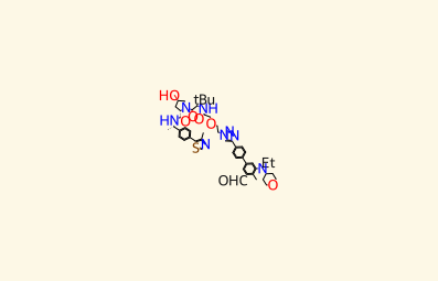 CCN(c1cc(-c2ccc(-c3cn(CCOCC(=O)N[C@H](C(=O)N4C[C@H](O)C[C@H]4C(=O)N[C@@H](C)c4ccc(-c5scnc5C)cc4)C(C)(C)C)nn3)cc2)cc(C=O)c1C)C1CCOCC1